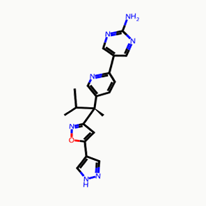 CC(C)[C@](C)(c1ccc(-c2cnc(N)nc2)nc1)c1cc(-c2cn[nH]c2)on1